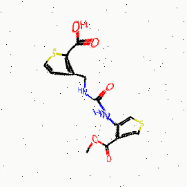 COC(=O)c1cscc1NC(=O)NCc1ccsc1C(=O)O